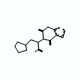 O=C(O)C(CC1CCCC1)C1C(=O)Cc2sccc2C1=O